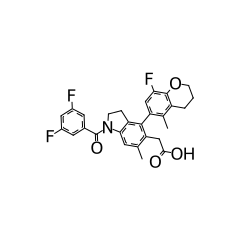 Cc1cc2c(c(-c3cc(F)c4c(c3C)CCCO4)c1CC(=O)O)CCN2C(=O)c1cc(F)cc(F)c1